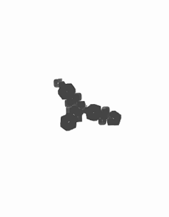 O=S(=O)(c1ccc(N2CN(S(=O)(=O)c3ccc(Cl)cc3)c3nc4ccccc4nc32)cc1)N1CCCC1